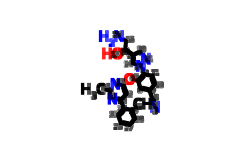 Cc1nc(Oc2cc(C#N)ccc2-n2cc([C@@H](O)CN)cn2)cc(-c2ccccc2C)n1